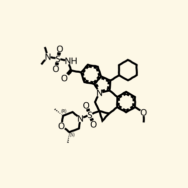 COc1ccc2c(c1)C1CC1(S(=O)(=O)N1C[C@@H](C)O[C@@H](C)C1)Cn1c-2c(C2CCCCC2)c2ccc(C(=O)NS(=O)(=O)N(C)C)cc21